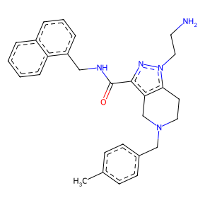 Cc1ccc(CN2CCc3c(c(C(=O)NCc4cccc5ccccc45)nn3CCN)C2)cc1